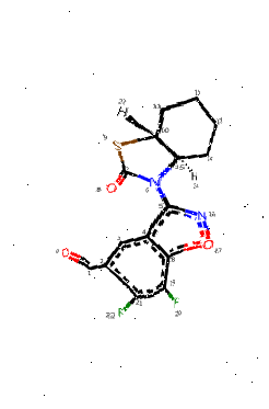 O=Cc1cc2c(N3C(=O)S[C@@H]4CCCC[C@H]43)noc2c(F)c1F